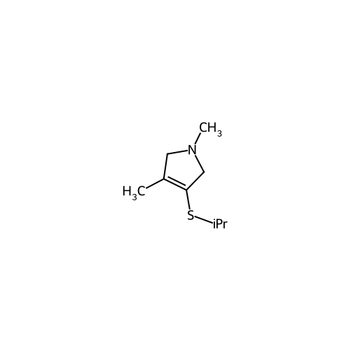 CC1=C(SC(C)C)CN(C)C1